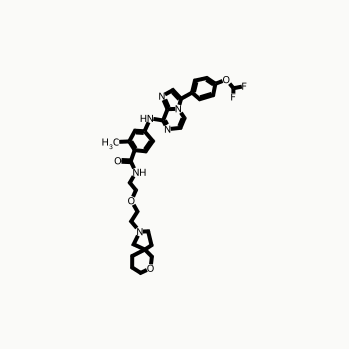 Cc1cc(Nc2nccn3c(-c4ccc(OC(F)F)cc4)cnc23)ccc1C(=O)NCCOCCN1CCC2(CCCOC2)C1